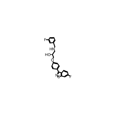 O[C@@H](CNCc1cccc(F)c1)COc1ccc(-c2noc3cc(F)ccc23)cc1